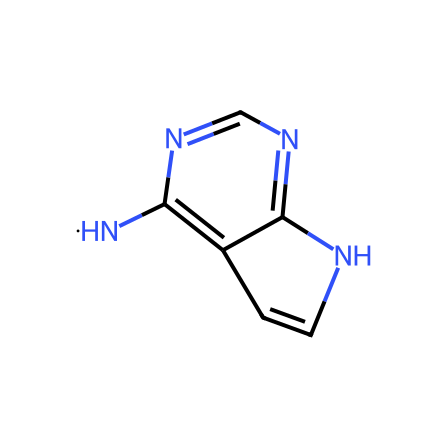 [NH]c1ncnc2[nH]ccc12